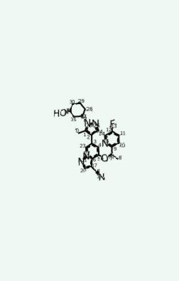 Cc1c(-c2cc(O[C@H](C)c3ccc(F)cn3)c3c(C#N)cnn3c2)cnn1[C@H]1CCC[C@@H](O)C1